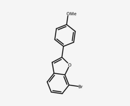 COc1ccc(-c2cc3cccc(Br)c3o2)cc1